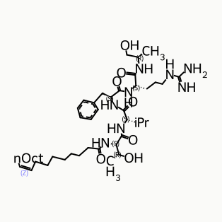 CCCCCCCC/C=C\CCCCCCCC(=O)N[C@H](C(=O)N[C@H](C(=O)N[C@@H](Cc1ccccc1)C(=O)N[C@@H](CCCNC(=N)N)C(=O)N[C@H](C)CO)C(C)C)[C@@H](C)O